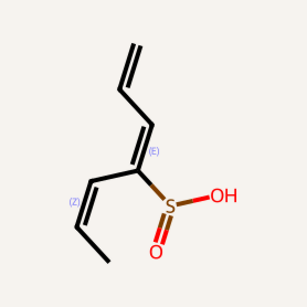 C=C/C=C(\C=C/C)S(=O)O